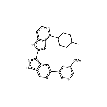 COc1cncc(-c2cc3c(-c4nc5c(N6CCN(C)CC6)nccc5[nH]4)n[nH]c3cn2)c1